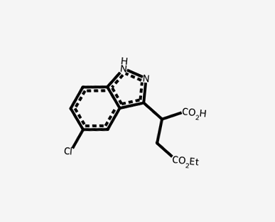 CCOC(=O)CC(C(=O)O)c1n[nH]c2ccc(Cl)cc12